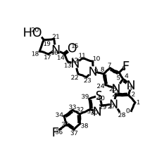 CCc1nc2c(F)cc(N3CCN(CC(=O)N4CCC(O)C4)CC3)cn2c1N(C)c1nc(-c2ccc(F)cc2)cs1